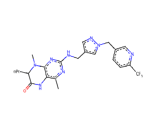 CCCC1C(=O)Nc2c(C)nc(NCc3cnn(Cc4ccc(C(F)(F)F)nc4)c3)nc2N1C